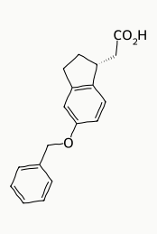 O=C(O)C[C@H]1CCc2cc(OCc3ccccc3)ccc21